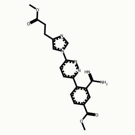 COC(=O)CCc1cn(-c2ccc(-c3ccc(C(=O)OC)cc3C(=N)N)nn2)cn1